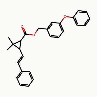 CC1(C)C(/C=C/c2ccccc2)C1C(=O)OCc1cccc(Oc2ccccc2)c1